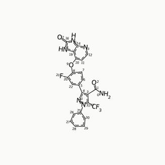 NC(=O)c1c(-c2ccc(Oc3ccnc4[nH]c(=O)[nH]c34)c(F)c2)nn(-c2ccccc2)c1C(F)(F)F